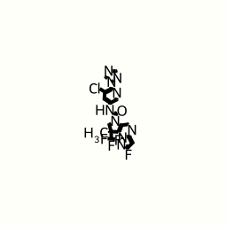 C[C@@]1(C(F)(F)F)CN(C(=O)Nc2cnc(-n3cncn3)c(Cl)c2)c2cnc3cc(F)nn3c21